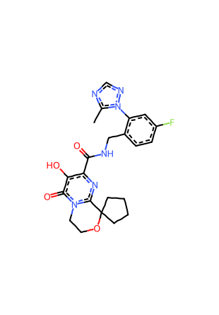 Cc1ncnn1-c1cc(F)ccc1CNC(=O)c1nc2n(c(=O)c1O)CCOC21CCCC1